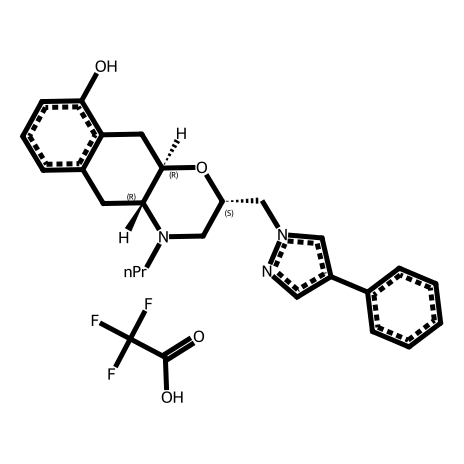 CCCN1C[C@@H](Cn2cc(-c3ccccc3)cn2)O[C@@H]2Cc3c(O)cccc3C[C@H]21.O=C(O)C(F)(F)F